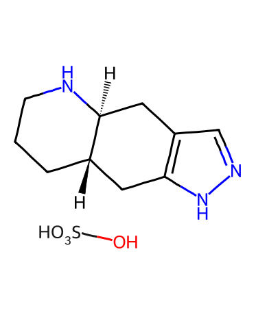 O=S(=O)(O)O.c1n[nH]c2c1C[C@@H]1NCCC[C@H]1C2